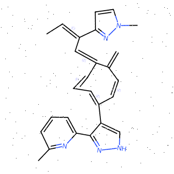 C=C1\C=C/C(c2c[nH]nc2-c2cccc(C)n2)=C/C=C/C1=C/C(=C\C)c1ccn(C)n1